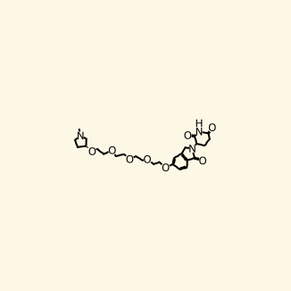 CN1CC[C@@H](OCCOCCOCCOCCOc2ccc3c(c2)CN(C2CCC(=O)NC2=O)C3=O)C1